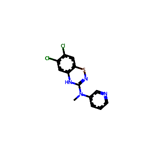 CN(C1=NSc2cc(Cl)c(Cl)cc2N1)c1cccnc1